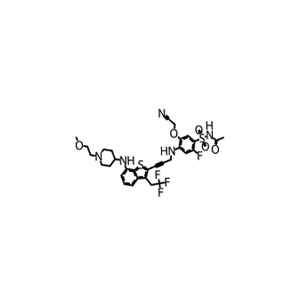 COCCN1CCC(Nc2cccc3c(CC(F)(F)F)c(C#CCNc4cc(F)c(S(=O)(=O)NC(C)=O)cc4OCC#N)sc23)CC1